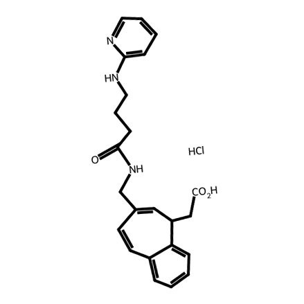 Cl.O=C(O)CC1C=C(CNC(=O)CCCNc2ccccn2)C=Cc2ccccc21